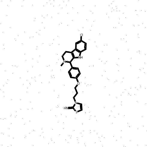 CN1CCc2c([nH]c3ccc(Cl)cc23)C1c1ccc(OCCCn2ccsc2=N)cc1